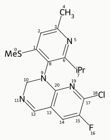 CSc1cc(C)nc(C(C)C)c1N1CN=Cc2cc(F)c(Cl)nc21